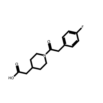 O=C(O)CC1CCN(C(=O)Cc2ccc(F)cc2)CC1